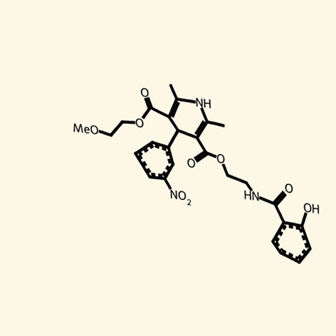 COCCOC(=O)C1=C(C)NC(C)=C(C(=O)OCCNC(=O)c2ccccc2O)C1c1cccc([N+](=O)[O-])c1